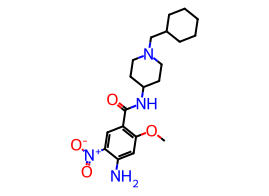 COc1cc(N)c([N+](=O)[O-])cc1C(=O)NC1CCN(CC2CCCCC2)CC1